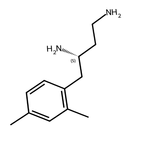 Cc1ccc(C[C@H](N)CCN)c(C)c1